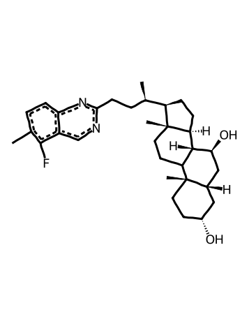 Cc1ccc2nc(CC[C@@H](C)[C@H]3CC[C@H]4[C@H]5C(CC[C@]34C)[C@@]3(C)CC[C@@H](O)C[C@H]3C[C@@H]5O)ncc2c1F